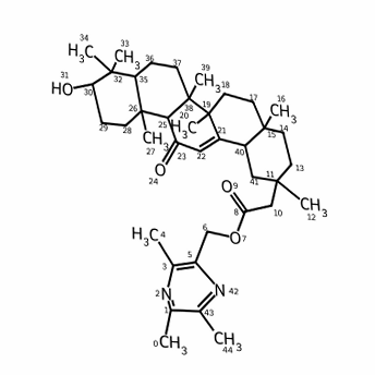 Cc1nc(C)c(COC(=O)CC2(C)CCC3(C)CCC4(C)C(=CC(=O)C5C6(C)CCC(O)C(C)(C)C6CCC54C)C3C2)nc1C